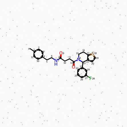 Cc1ccc(CCNC(=O)CCC(=O)N2CCc3sccc3C2c2cccc(F)c2)cc1